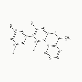 CC(Cc1cc(F)c(-c2cc(F)cc(F)c2)c(F)c1)c1ccccc1